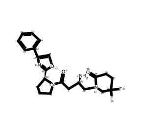 N[C@H](CC(=O)N1CCC[C@H]1c1nc(-c2ccccc2)co1)CN1CC(F)(F)CCC1=O